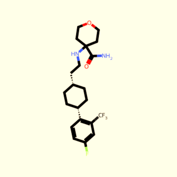 NC(=O)C1(NCC[C@H]2CC[C@@H](c3ccc(F)cc3C(F)(F)F)CC2)CCOCC1